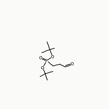 CC(C)(C)OP(=O)(CCC=O)OC(C)(C)C